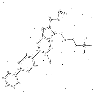 C[Si](C)(C)CCOCn1c(OCC(=O)O)nc2cc(-c3ccc(-c4ccccc4)cc3)c(Cl)cc21